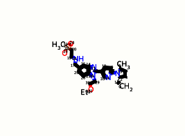 C=C[C@H]1CC[C@H](C)N1c1ccc(-c2nc3cc(CNCCS(C)(=O)=O)ccc3n2CCOCC)cn1